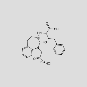 Cl.O=C(O)CN1C(=O)[C@@H](NC(CCc2ccccc2)C(=O)O)CCc2ccccc21